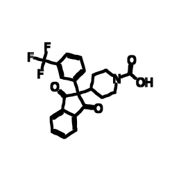 O=C(O)N1CCC(C2(c3cccc(C(F)(F)F)c3)C(=O)c3ccccc3C2=O)CC1